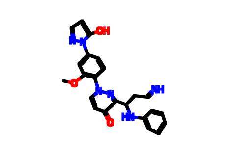 COc1cc(-n2nccc2O)ccc1-n1ccc(=O)c(C(CC=N)Nc2ccccc2)n1